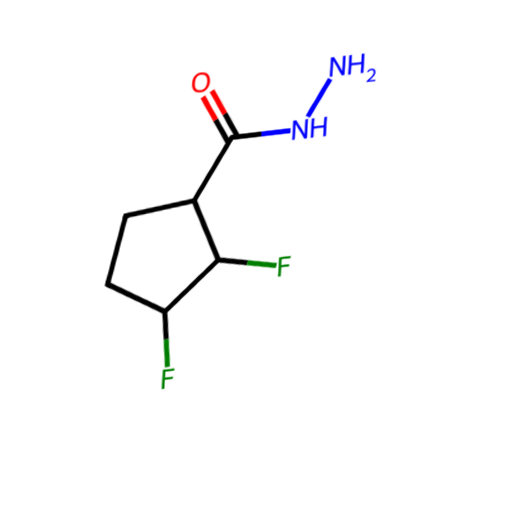 NNC(=O)C1CCC(F)C1F